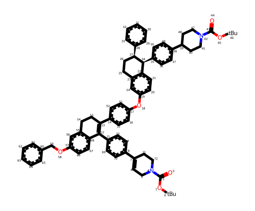 CC(C)(C)OC(=O)N1CC=C(c2ccc(C3=C(c4ccc(Oc5ccc6c(c5)CC[C@@H](c5ccccc5)[C@H]6c5ccc(C6CCN(C(=O)OC(C)(C)C)CC6)cc5)cc4)CCc4cc(OCc5ccccc5)ccc43)cc2)CC1